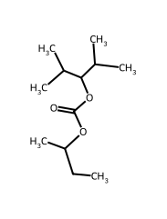 CCC(C)OC(=O)OC(C(C)C)C(C)C